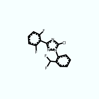 Fc1cccc(F)c1-c1nc(Cl)n(-c2ccccc2C(F)F)n1